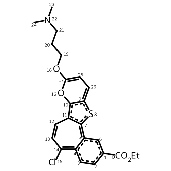 CCOC(=O)c1ccc2c(c1)=c1sc3c(c1C=CC=2Cl)OC(OCCCN(C)C)=CC=3